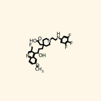 COc1ccc2ncc(CF)c([C@H](O)CCC3(CC(=O)O)CCN(CCNc4cc(F)c(F)c(F)c4)CC3)c2c1